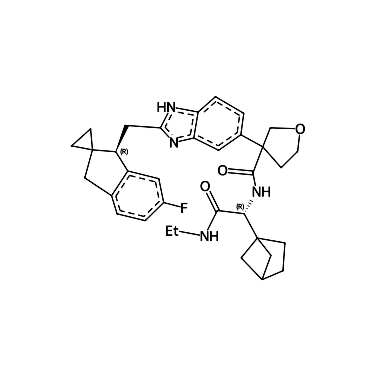 CCNC(=O)[C@H](NC(=O)C1(c2ccc3[nH]c(C[C@H]4c5cc(F)ccc5CC45CC5)nc3c2)CCOC1)C12CCC(C1)C2